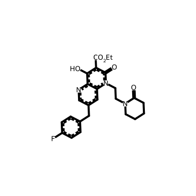 CCOC(=O)c1c(O)c2ncc(Cc3ccc(F)cc3)cc2n(CCN2CCCCC2=O)c1=O